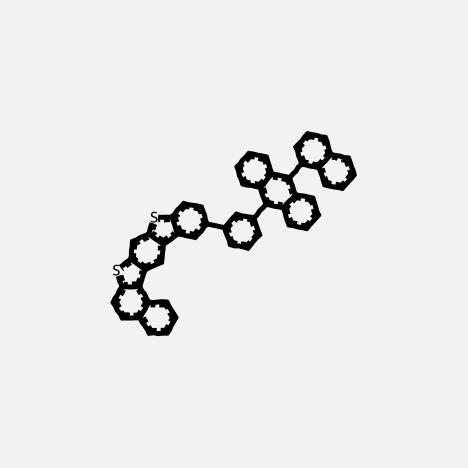 c1cc(-c2ccc3sc4cc5sc6ccc7ccccc7c6c5cc4c3c2)cc(-c2c3ccccc3c(-c3cccc4ccccc34)c3ccccc23)c1